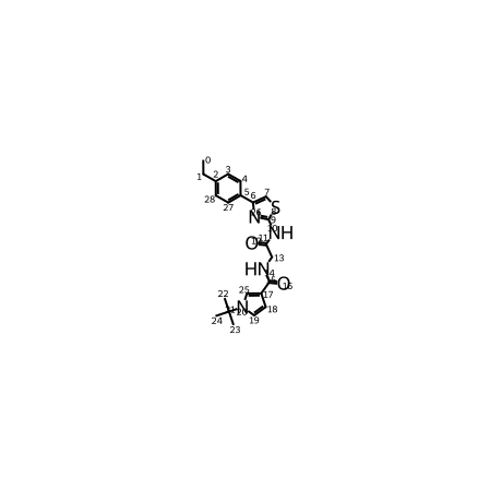 CCc1ccc(-c2csc(NC(=O)CNC(=O)c3ccn(C(C)(C)C)c3)n2)cc1